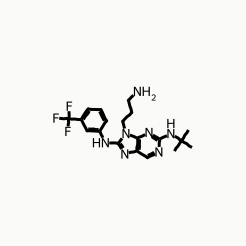 CC(C)(C)Nc1ncc2nc(Nc3cccc(C(F)(F)F)c3)n(CCCN)c2n1